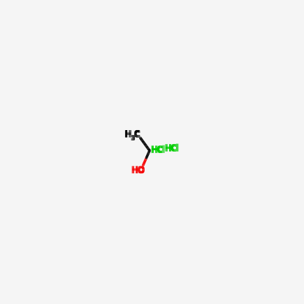 CCO.Cl.Cl